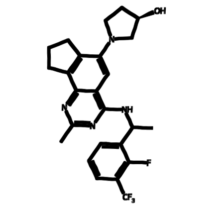 Cc1nc(NC(C)c2cccc(C(F)(F)F)c2F)c2cc(N3CC[C@@H](O)C3)c3c(c2n1)CCC3